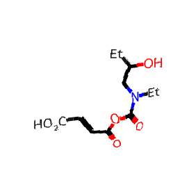 CCC(O)CN(CC)C(=O)OC(=O)/C=C/C(=O)O